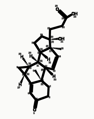 C[C@]12CCC(=O)C=C1[C@H]1C[C@H]1[C@@H]1[C@@H]2C=C[C@@]2(C)[C@H]1CC[C@@]2(O)CCC(=O)O